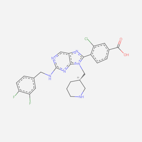 O=C(O)c1ccc(-c2nc3cnc(NCc4ccc(F)c(F)c4)nc3n2C[C@@H]2CCCNC2)c(Cl)c1